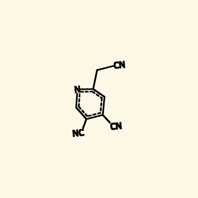 N#CCc1cc(C#N)c(C#N)cn1